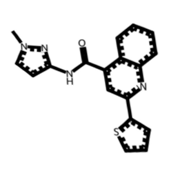 Cn1ccc(NC(=O)c2cc(-c3cccs3)nc3ccccc23)n1